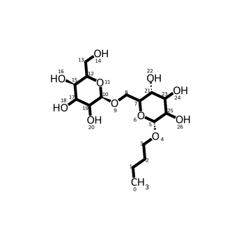 CCCCO[C@@H]1OC(CO[C@@H]2OC(CO)[C@H](O)C(O)C2O)[C@H](O)C(O)C1O